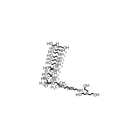 CC(C)(N)CO.CC(C)(N)CO.CC(C)(N)CO.CCC(N)(CO)CO.NCCO.NCCO.NCCO.NCCO.NCCO.NCCO.NCCO.OCCN(CCO)CCO.OCCNCCO